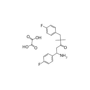 CC(C)(Cc1ccc(F)cc1)C(=O)CC(N)c1ccc(F)cc1.O=C(O)C(=O)O